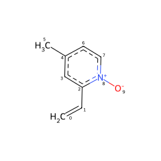 C=Cc1cc(C)cc[n+]1[O-]